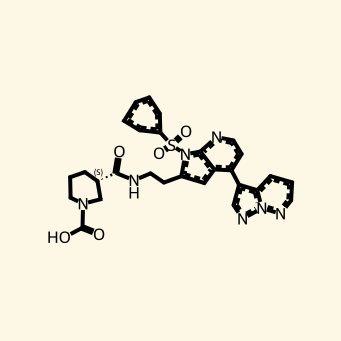 O=C(NCCc1cc2c(-c3cnn4ncccc34)ccnc2n1S(=O)(=O)c1ccccc1)[C@H]1CCCN(C(=O)O)C1